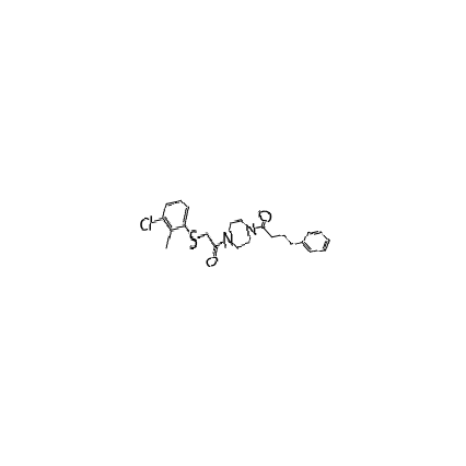 Cc1c(Cl)cccc1SCC(=O)N1CCN(C(=O)CCCc2ccccc2)CC1